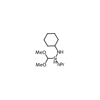 CCC[SiH](NC1CCCCC1)C(OC)OC